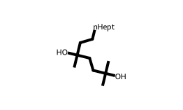 CCCCCCCCCC(C)(O)CCC(C)(C)O